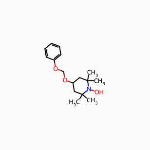 CC1(C)CC(OCOc2ccccc2)CC(C)(C)N1O